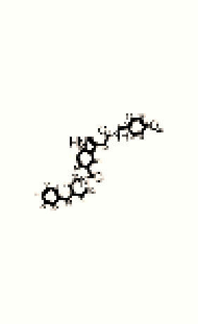 COc1ccc(CNC(=O)Cc2c[nH]c3ccc(C(=O)N4CCC(Cc5ccccc5)CC4)cc23)cc1